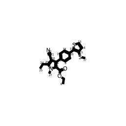 CCOC(=O)c1c(-c2ccc(-c3sccc3SC)cc2)c(C#N)c(CC)n1C